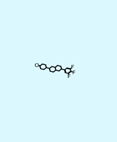 O=C1CCC(C2CCC3CC(c4cc(F)c(F)c(F)c4)CCC3C2)CC1